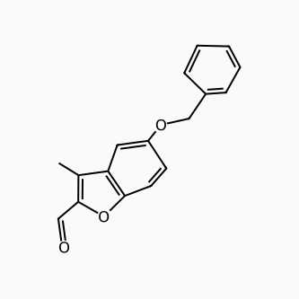 Cc1c(C=O)oc2ccc(OCc3ccccc3)cc12